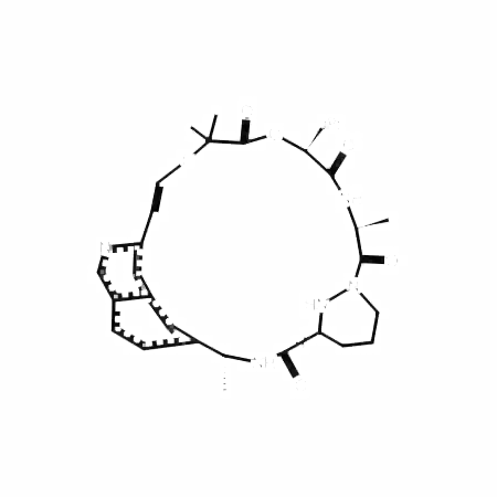 CC(C)[C@@H]1OC(=O)C(C)(C)C/C=C/c2cc3cc(ccc3cn2)[C@@H](C)NC(=O)[C@@H]2CCCN(N2)C(=O)[C@H](C)NC1=O